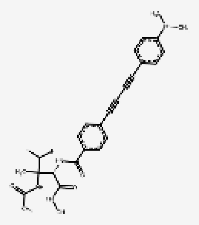 CC(=O)NC(C)(C(F)F)[C@H](NC(=O)c1ccc(C#CC#Cc2ccc(N(C)C)cc2)cc1)C(=O)NO